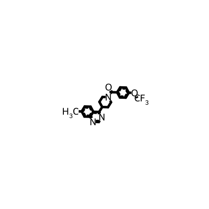 Cc1ccc2c(C3CCN(C(=O)c4ccc(OC(F)(F)F)cc4)CC3)ncnc2c1